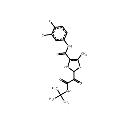 CC1=C(C(=O)Nc2ccc(F)c(Cl)c2)NC(C(=O)C(=O)NC(C)(C)C)S1